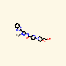 Cn1nc(NC(=O)c2ccc(N3CCC(O)(CCO)CC3)nc2)cc1-c1nc2ccccc2[nH]1